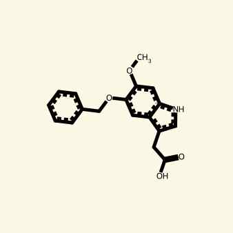 COc1cc2[nH]cc(CC(=O)O)c2cc1OCc1ccccc1